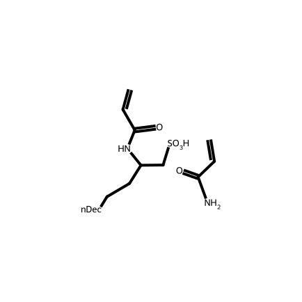 C=CC(=O)NC(CCCCCCCCCCCC)CS(=O)(=O)O.C=CC(N)=O